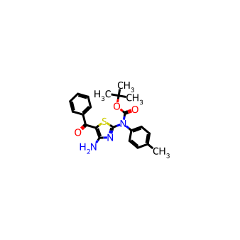 Cc1ccc(N(C(=O)OC(C)(C)C)c2nc(N)c(C(=O)c3ccccc3)s2)cc1